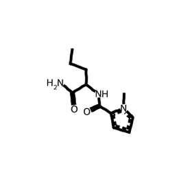 CCCC(NC(=O)c1cccn1C)C(N)=O